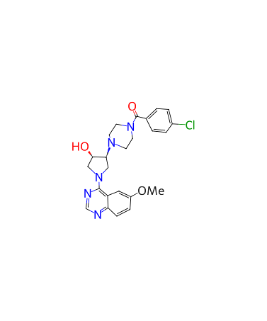 COc1ccc2ncnc(N3C[C@@H](O)[C@@H](N4CCN(C(=O)c5ccc(Cl)cc5)CC4)C3)c2c1